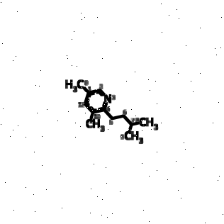 Cc1cnc(CCC(C)C)c(C)c1